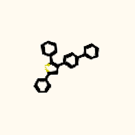 c1ccc(-c2ccc(-c3cc(-c4ccccc4)sc3-c3ccccc3)cc2)cc1